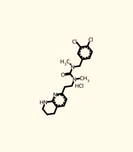 CN(CCc1ccc2c(n1)NCCC2)C(=O)N(C)Cc1ccc(Cl)c(Cl)c1.Cl